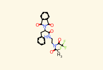 CC(=O)N(CCNC(=O)C(Cc1ccccc1)N1C(=O)c2ccccc2C1=O)C(=O)C(F)(F)F